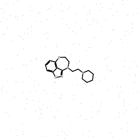 c1cc2c3c(noc3c1)N(CCN1CCCCC1)CCO2